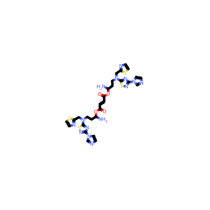 NC(CCN(Cc1nccs1)c1nc(-n2ccnc2)ns1)OC(=O)/C=C/C(=O)OC(N)CCN(Cc1nccs1)c1nc(-n2ccnc2)ns1